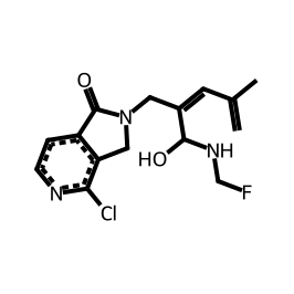 C=C(C)/C=C(/CN1Cc2c(ccnc2Cl)C1=O)C(O)NCF